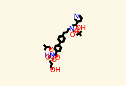 CC(C)COc1cc(-c2ccc(CCCN(C[C@H](O)c3cccnc3)C(=O)OC(C)(C)C)cc2)ccc1C(=O)NS(=O)(=O)CCCO